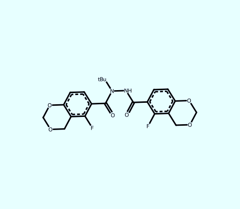 CC(C)(C)N(NC(=O)c1ccc2c(c1F)COCO2)C(=O)c1ccc2c(c1F)COCO2